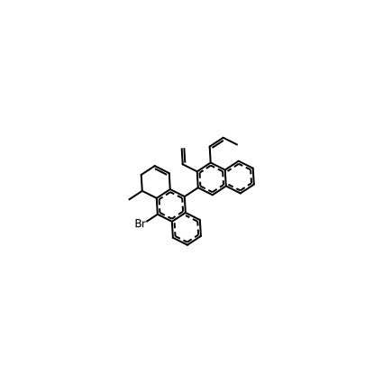 C=Cc1c(-c2c3c(c(Br)c4ccccc24)C(C)CC=C3)cc2ccccc2c1/C=C\C